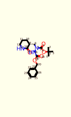 CC(C)(C)OC(=O)N(C[C@H]1CCCNC1=O)NC(=O)OCc1ccccc1